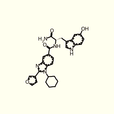 NC(=O)[C@H](Cc1c[nH]c2ccc(O)cc12)NC(=O)c1ccc2c(c1)nc(-c1ccoc1)n2C1CCCCC1